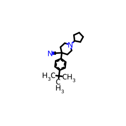 CC(C)(C)c1ccc(C2(C#N)CCN(C3CCCC3)CC2)cc1